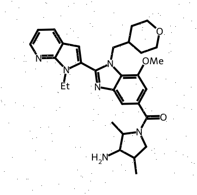 CCn1c(-c2nc3cc(C(=O)N4CC(C)C(N)C4C)cc(OC)c3n2CC2CCOCC2)cc2cccnc21